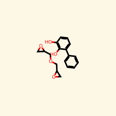 C(OCC1CO1)C1CO1.Oc1cccc(-c2ccccc2)c1O